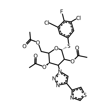 CC(=O)OCC1O[C@H](Sc2cc(Cl)c(F)c(Cl)c2)C(OC(C)=O)C(n2cc(-c3cscn3)nn2)[C@H]1OC(C)=O